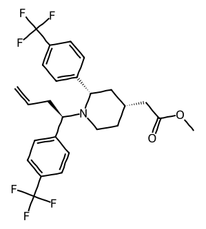 C=CC[C@H](c1ccc(C(F)(F)F)cc1)N1CC[C@@H](CC(=O)OC)C[C@H]1c1ccc(C(F)(F)F)cc1